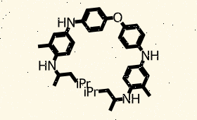 Cc1cc(Nc2ccc(Oc3ccc(Nc4ccc(NC(C)CC(C)C)c(C)c4)cc3)cc2)ccc1NC(C)CC(C)C